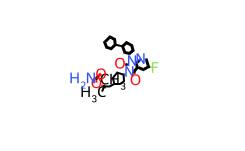 CC(C)(CC1CCC(n2c(=O)c3cc(F)cnc3n(-c3cccc(-c4ccccc4)c3)c2=O)CC1)OC(N)=O